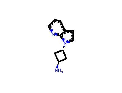 N[C@H]1C[C@H](n2ccc3cccnc32)C1